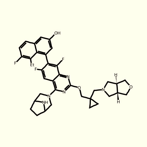 CCc1c(F)ccc2cc(O)cc(-c3c(F)cc4c(N5CC6CCC(C5)N6)nc(OCC5(CN6C[C@H]7COC[C@@H]7C6)CC5)nc4c3F)c12